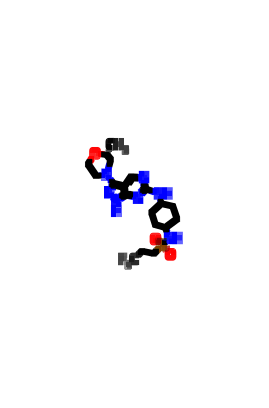 C[C@@H]1CN(c2n[nH]c3nc(NC4CCC(NS(=O)(=O)CCC(F)(F)F)CC4)ncc23)CCO1